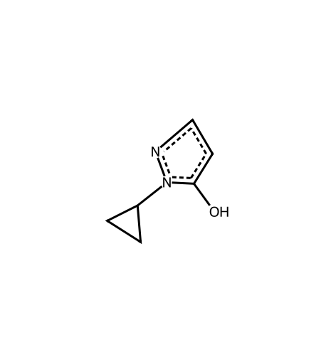 Oc1ccnn1C1CC1